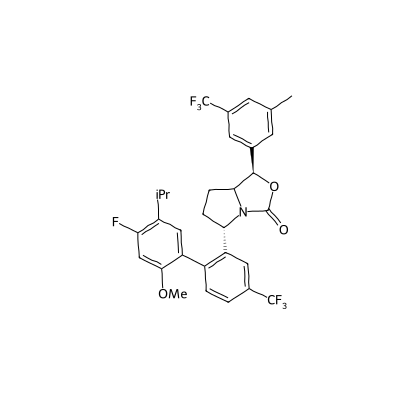 COc1cc(F)c(C(C)C)cc1-c1ccc(C(F)(F)F)cc1[C@@H]1CCC2[C@@H](c3cc(C)cc(C(F)(F)F)c3)OC(=O)N21